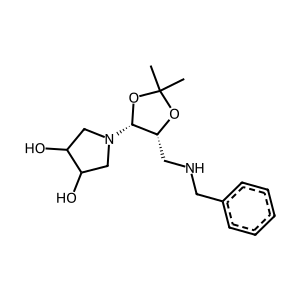 CC1(C)O[C@@H](N2CC(O)C(O)C2)[C@@H](CNCc2ccccc2)O1